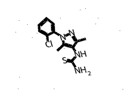 Cc1nn(-c2ccccc2Cl)c(C)c1NC(N)=S